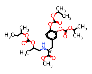 CCC(C)OC(=O)OC(C)CN[C@@H](Cc1ccc(OC(=O)OC(C)C)c(OC(=O)OC(C)C)c1)C(=O)OC